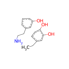 CCc1ccc(O)c(O)c1.NCCc1cccc(O)c1